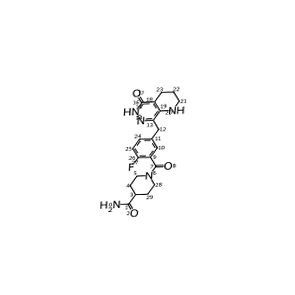 NC(=O)C1CCN(C(=O)c2cc(Cc3n[nH]c(=O)c4c3NCCC4)ccc2F)CC1